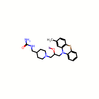 Cc1ccc2c(c1)N(CC(CN1CCC(CNC(N)=O)CC1)OI)c1ccccc1S2